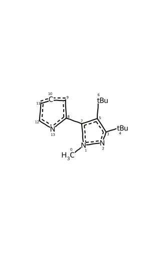 Cn1nc(C(C)(C)C)c(C(C)(C)C)c1-c1ccccn1